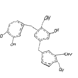 Oc1ccc(Cc2cc(O)c(O)c(Cc3ccc(O)c(O)c3)c2)cc1O